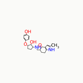 Cc1cc2c([nH]1)CCC(CNC1CCC(Oc3ccc(O)cc3)C1O)C2=O